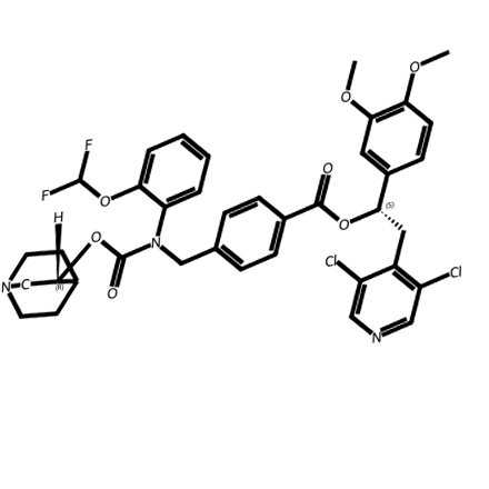 COc1ccc([C@H](Cc2c(Cl)cncc2Cl)OC(=O)c2ccc(CN(C(=O)O[C@H]3CN4CCC3CC4)c3ccccc3OC(F)F)cc2)cc1OC